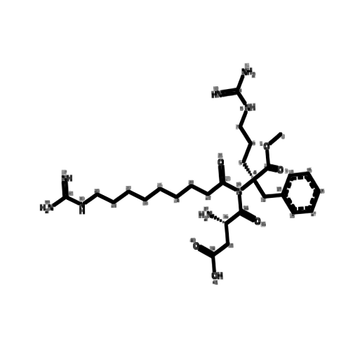 COC(=O)[C@@](CCCNC(=N)N)(Cc1ccccc1)N(C(=O)CCCCCCCCNC(=N)N)C(=O)[C@@H](N)CC(=O)O